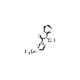 CC[C@H]1C=CN(C(=O)[C@H](O)c2ccccc2)O1